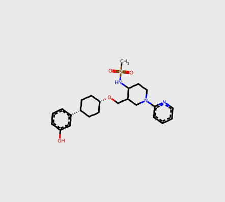 CS(=O)(=O)NC1CCN(c2ccccn2)CC1CO[C@H]1CC[C@@H](c2cccc(O)c2)CC1